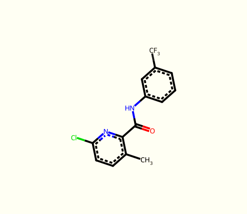 Cc1ccc(Cl)nc1C(=O)Nc1cccc(C(F)(F)F)c1